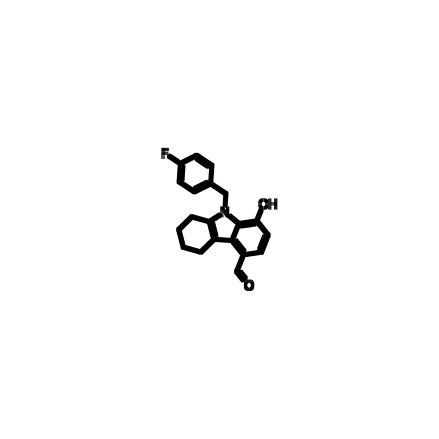 O=Cc1ccc(O)c2c1c1c(n2Cc2ccc(F)cc2)CCCC1